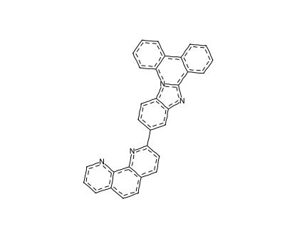 c1cnc2c(c1)ccc1ccc(-c3ccc4c(c3)nc3c5ccccc5c5ccccc5n43)nc12